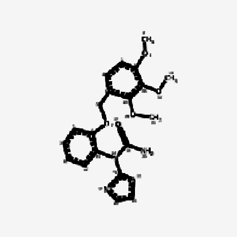 COc1ccc(COc2ccccc2N(C(N)=O)c2nccs2)c(OC)c1OC